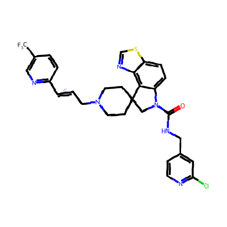 O=C(NCc1ccnc(Cl)c1)N1CC2(CCN(C/C=C/c3ccc(C(F)(F)F)cn3)CC2)c2c1ccc1scnc21